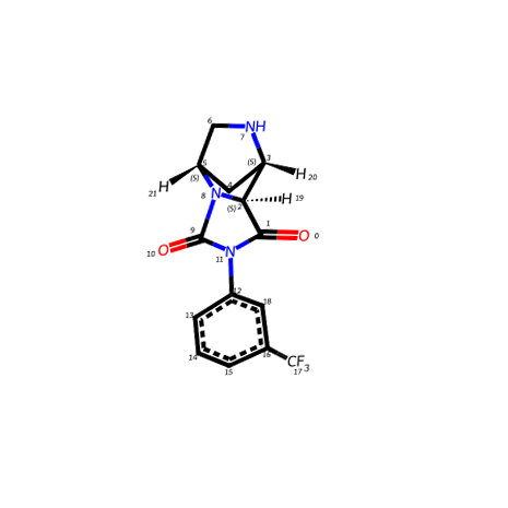 O=C1[C@@H]2[C@@H]3C[C@@H](CN3)N2C(=O)N1c1cccc(C(F)(F)F)c1